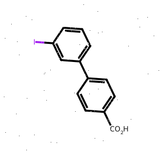 O=C(O)c1ccc(-c2cccc(I)c2)cc1